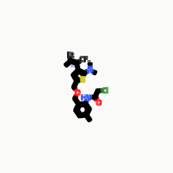 CC/C(C)=C(/c1cc(COCc2ccc(C)cc2NC(=O)CCl)sc1N(C)C)C(F)(F)F